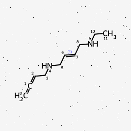 C=C=CCNC/C=C/CNCC